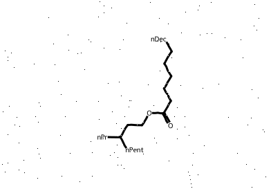 CCCCCCCCCCCCCCCC(=O)OCCC(CCC)CCCCC